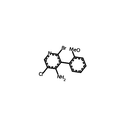 COc1ccccc1-c1c(Br)ncc(Cl)c1N